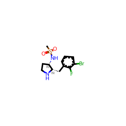 CS(=O)(=O)N[C@H]1CCN[C@H]1Cc1cccc(Br)c1F